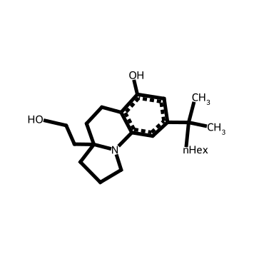 CCCCCCC(C)(C)c1cc(O)c2c(c1)N1CCCC1(CCO)CC2